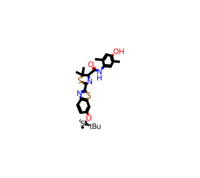 Cc1cc(NC(=O)C2N=C(c3nc4ccc(O[Si](C)(C)C(C)(C)C)cc4s3)SC2(C)C)c(C)cc1O